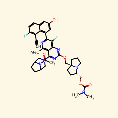 C#Cc1c(F)ccc2cc(O)cc(-c3nc(OC)c4c(N5CC6CCC(C5)N6C(=O)C(F)(F)F)nc(OC[C@@]56CCCN5[C@H](COC(=O)N(C)C)CC6)nc4c3F)c12